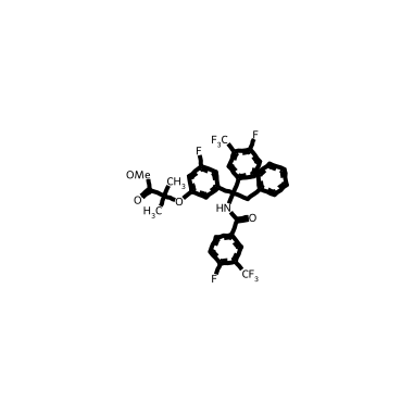 COC(=O)C(C)(C)Oc1cc(F)cc(C(Cc2ccccc2)(NC(=O)c2ccc(F)c(C(F)(F)F)c2)c2ccc(F)c(C(F)(F)F)c2)c1